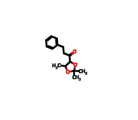 CC1OC(C)(C)OC1C(=O)CCc1ccccc1